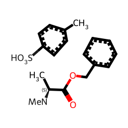 CN[C@@H](C)C(=O)OCc1ccccc1.Cc1ccc(S(=O)(=O)O)cc1